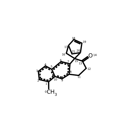 Cc1cccc2cc3c(cc12)CCC(=O)C31CC2C=CC1C2